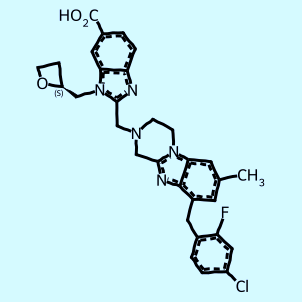 Cc1cc(Cc2ccc(Cl)cc2F)c2nc3n(c2c1)CCN(Cc1nc2ccc(C(=O)O)cc2n1C[C@@H]1CCO1)C3